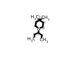 CCC(CC)N1CCC(C)(C)CC1